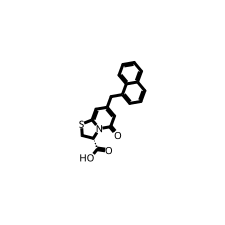 O=C(O)[C@@H]1CSc2cc(Cc3cccc4ccccc34)cc(=O)n21